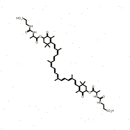 CC(C=CC=C(C)C=CC1=C(C)C(=O)C(OC(=O)C(C)NC(=O)NCCS(=O)(=O)O)CC1(C)C)=CC=CC=C(C)C=CC=C(C)C=CC1=C(C)C(=O)C(OC(=O)C(C)NC(=O)NCCS(=O)(=O)O)CC1(C)C